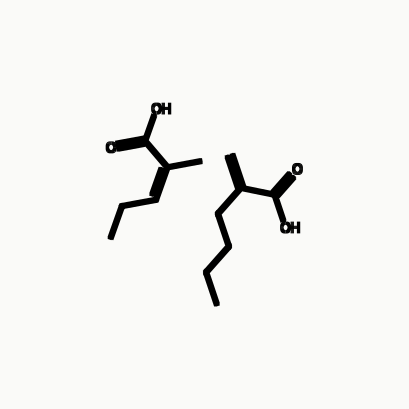 C=C(CCCC)C(=O)O.CCC=C(C)C(=O)O